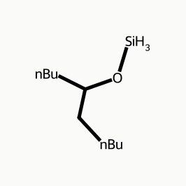 CCCCCC(CCCC)O[SiH3]